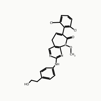 CON1C(=O)C(c2c(Cl)cccc2Cl)=CCc2cnc(Nc3ccc(CCO)cc3)nc21